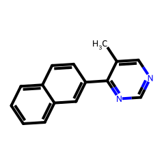 Cc1cncnc1-c1ccc2ccccc2c1